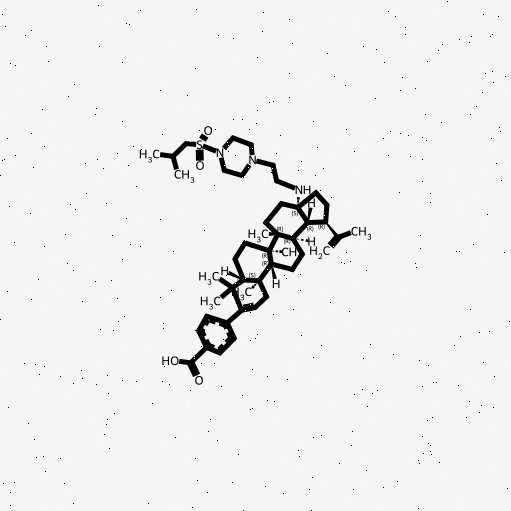 C=C(C)[C@@H]1CC[C@]2(NCCN3CCN(S(=O)(=O)CC(C)C)CC3)CC[C@]3(C)[C@H](CC[C@@H]4[C@@]5(C)CC=C(c6ccc(C(=O)O)cc6)C(C)(C)[C@@H]5CC[C@]43C)[C@@H]12